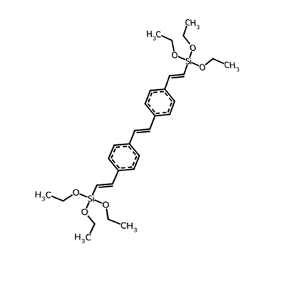 CCO[Si](C=Cc1ccc(C=Cc2ccc(C=C[Si](OCC)(OCC)OCC)cc2)cc1)(OCC)OCC